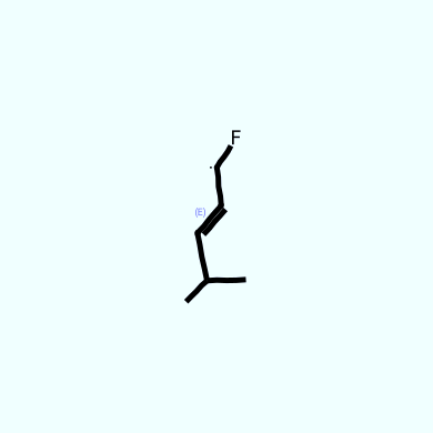 CC(C)/C=C/[CH]F